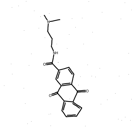 CN(C)CCCNC(=O)c1ccc2c(c1)C(=O)c1ccccc1C2=O